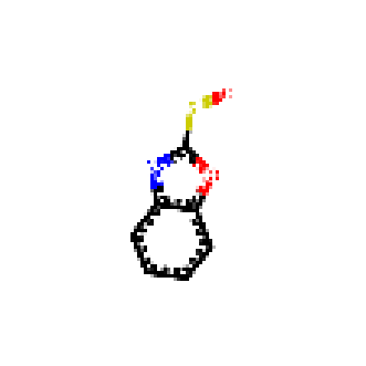 O=[S+]c1nc2ccccc2o1